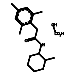 Cc1cc(C)c(CC(=O)NC2CCCCC2C)c(C)c1.O=C(O)O